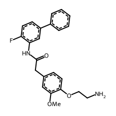 COc1cc(CC(=O)Nc2cc(-c3ccccc3)ccc2F)ccc1OCCN